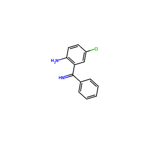 N=C(c1ccccc1)c1cc(Cl)ccc1N